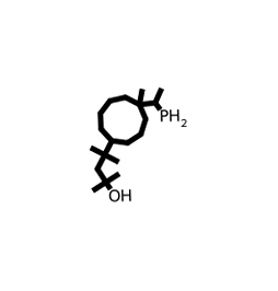 CC(P)C1(C)CCCCC(C(C)(C)CC(C)(C)O)CCC1